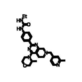 CCNC(=O)Nc1ccc(-c2nc3c(c(N4CCOCC4C)n2)CCN(Cc2ccnc(C)c2)C3)cc1